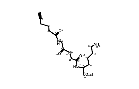 C#CCCCC(=O)NCC(=O)NCC(=O)NC(CCCCN)C(=O)OCC